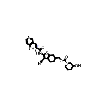 Cc1ccncc1/C=C/C(=O)Nc1sc2c(c1C#N)CCC(COC(=O)N1CCCC(O)C1)C2